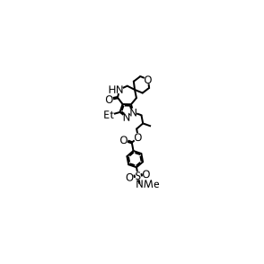 CCc1nn(CC(C)COC(=O)c2ccc(S(=O)(=O)NC)cc2)c2c1C(=O)NCC1(CCOCC1)C2